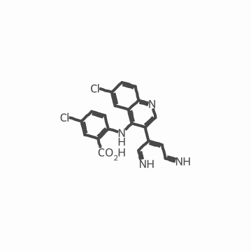 N=C/C=C(\C=N)c1cnc2ccc(Cl)cc2c1Nc1ccc(Cl)cc1C(=O)O